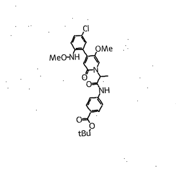 CONc1ccc(Cl)cc1-c1cc(=O)n(C(C)C(=O)Nc2ccc(C(=O)OC(C)(C)C)cc2)cc1OC